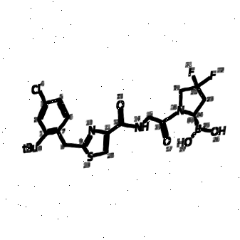 CC(C)(C)c1cc(Cl)ccc1Cc1nc(C(=O)NCC(=O)N2CC(F)(F)C[C@H]2B(O)O)cs1